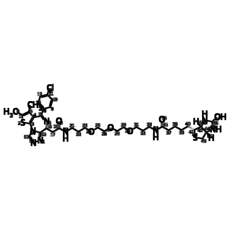 Cc1sc2c(c1C)C(c1ccc(Cl)cc1)=NC(CC(=O)NCCCOCCOCCOCCCNC(=O)CCCC[C@H]1SC[C@H]3NC(O)N[C@H]31)c1nncn1-2